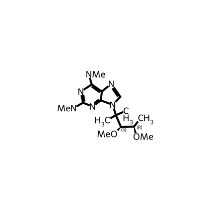 CNc1nc(NC)c2ncn(C(C)(C)[C@H](OC)[C@@H](C)OC)c2n1